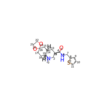 CN1C[C@H](C(=O)NCc2cccs2)C[C@@H]2CC3(CC[C@H]21)OCCO3